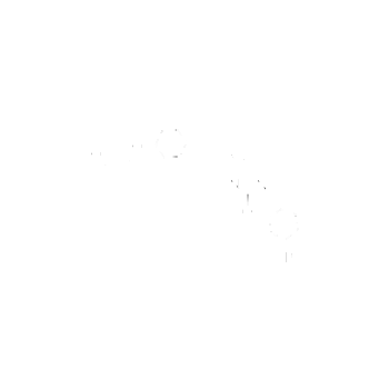 Cc1cc(CCC[C@H]2CN(Cc3ccc(Br)cc3)C(=O)N2C)ccc1OC(C)(C)C(=O)O